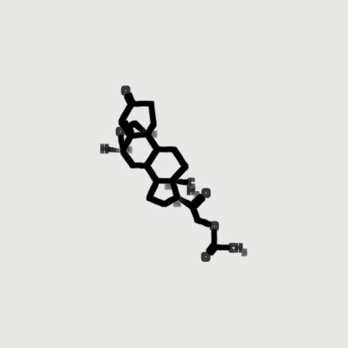 CC(=O)OCC(=O)[C@H]1CCC2C3C[C@H]4OC[C@@]5(CCC(=O)C=C45)C3CC[C@@]21C